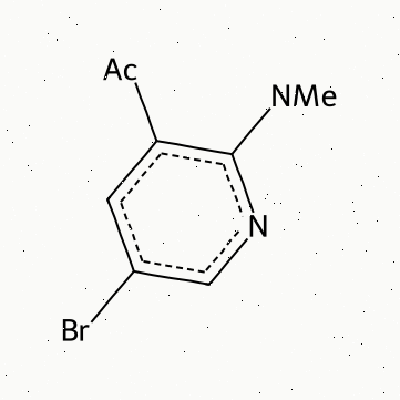 CNc1ncc(Br)cc1C(C)=O